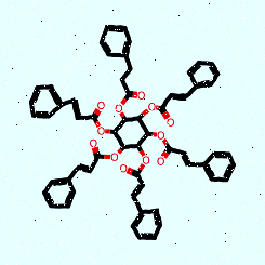 O=C(/C=C/c1ccccc1)OC1C(OC(=O)/C=C/c2ccccc2)C(OC(=O)/C=C/c2ccccc2)C(OC(=O)CCc2ccccc2)C(OC(=O)/C=C/c2ccccc2)C1OC(=O)/C=C/c1ccccc1